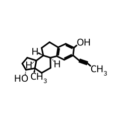 CC#Cc1cc2c(cc1O)CC[C@@H]1[C@@H]2CC[C@]2(C)[C@H](O)CC[C@@H]12